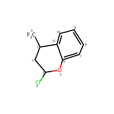 FC(F)(F)C1CC(Cl)Oc2ccccc21